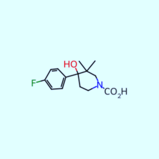 CC1(C)CN(C(=O)O)CCC1(O)c1ccc(F)cc1